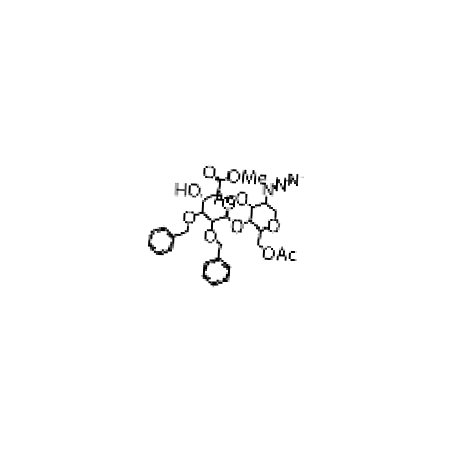 COC(=O)C1O[C@@H](O[C@@H]2C(COC(C)=O)OCC(N=[N+]=[N-])C2OC(C)=O)C(OCc2ccccc2)C(OCc2ccccc2)[C@@H]1O